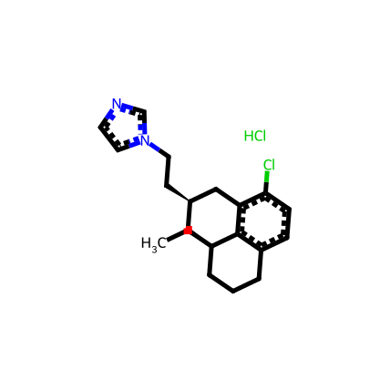 CC[C@@]12CCCc3ccc(Cl)c(c31)C[C@H](CCn1ccnc1)C2.Cl